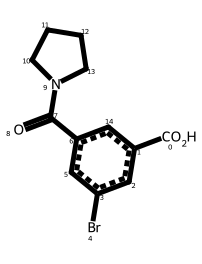 O=C(O)c1cc(Br)cc(C(=O)N2CCCC2)c1